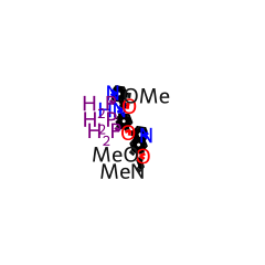 CNCCOc1cc2nccc(Oc3ccc(NC(=O)c4c(OC)ccnc4P)c(P)c3P)c2cc1OC